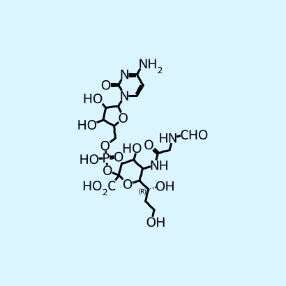 Nc1ccn(C2OC(COP(=O)(O)OC3(C(=O)O)CC(O)C(NC(=O)CNC=O)C([C@H](O)CCO)O3)C(O)C2O)c(=O)n1